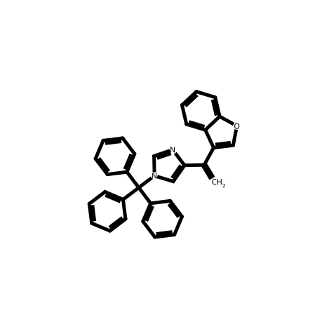 C=C(c1cn(C(c2ccccc2)(c2ccccc2)c2ccccc2)cn1)c1coc2ccccc12